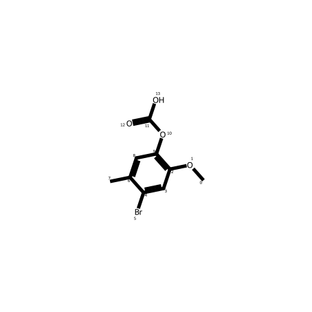 COc1cc(Br)c(C)cc1OC(=O)O